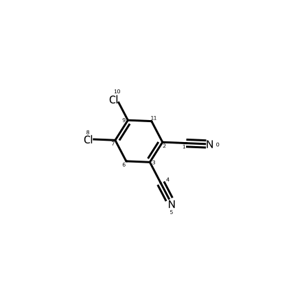 N#CC1=C(C#N)CC(Cl)=C(Cl)C1